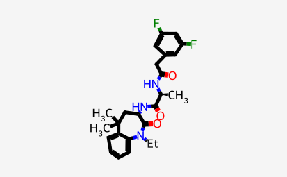 CCN1C(=O)C(NC(=O)[C@H](C)NC(=O)Cc2cc(F)cc(F)c2)CC(C)(C)c2ccccc21